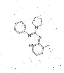 Cc1ccc[nH]c1=NC(=Nc1ccccc1)N1CCCC1